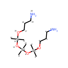 C[Si](C)(OCCCN)O[Si](C)(C)O[Si](C)(C)OCCCN